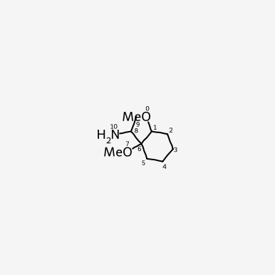 COC1CCCCC1(OC)C(C)N